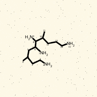 CC(CCN)CC(N)C(N)C(C)CCCN